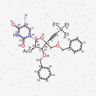 CC[Si](C#C[C@]1(COCc2ccccc2)O[C@@H](n2cc(F)c(=O)[nH]c2=O)[C@H](OC(C)=O)[C@@H]1OCc1ccccc1)(CC)CC